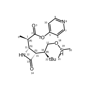 C[C@@H](C(=O)Oc1ccncc1)[C@H]1NC(=O)[C@H]1[C@@H](CO[SiH](C)C)C(C)(C)C